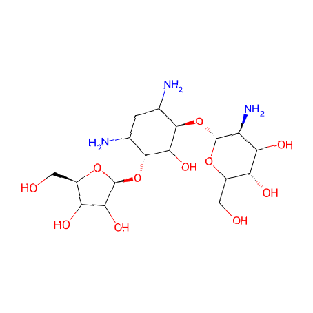 NC1CC(N)[C@@H](O[C@H]2OC(CO)[C@@H](O)C(O)[C@@H]2N)C(O)[C@@H]1O[C@@H]1O[C@H](CO)C(O)C1O